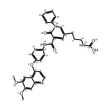 COc1cc2nccc(Oc3ccc(NC(=O)c4cc(CCCNC(=O)O)cn(-c5ccccc5)c4=O)nc3)c2cc1OC